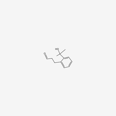 CC(C)(O)c1ccccc1CCC=O